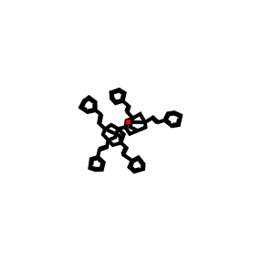 C(=CC12CC3CC(C=Cc4ccccc4)(C1)CC(C14CC5(C=Cc6ccccc6)CC(C=Cc6ccccc6)(CC(C=Cc6ccccc6)(C5)C1)C4)(C3)C2)c1ccccc1